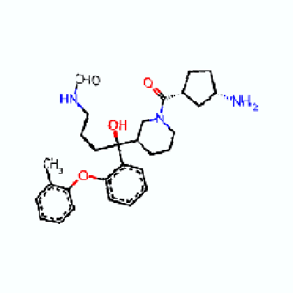 Cc1ccccc1Oc1ccccc1[C@](O)(CCCNC=O)[C@@H]1CCCN(C(=O)[C@@H]2CC[C@H](N)C2)C1